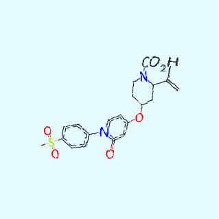 C=C(C)C1CC(Oc2ccn(-c3ccc(S(C)(=O)=O)cc3)c(=O)c2)CCN1C(=O)O